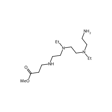 CCN(CCN)CCN(CC)CCNCCC(=O)OC